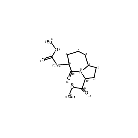 CC(C)(C)OC(=O)NC1CCCC2CCC(C(=O)OC(C)(C)C)N2C1=O